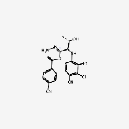 C=C(O/C(=N\N)C(Nc1ccc(C#N)c(Cl)c1CC)[C@H](C)O)c1ccc(C#N)cc1